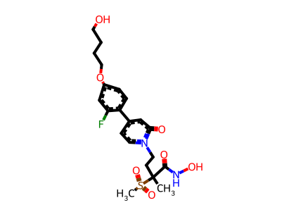 CC(CCn1ccc(-c2ccc(OCCCCO)cc2F)cc1=O)(C(=O)NO)S(C)(=O)=O